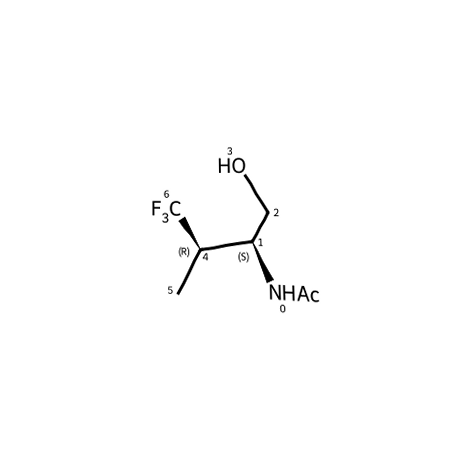 CC(=O)N[C@H](CO)[C@@H](C)C(F)(F)F